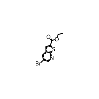 CCOC(=O)c1cc2cc(Br)cnc2s1